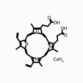 C=CC1=C(C)c2cc3[nH]c(cc4nc(cc5[nH]c(cc1n2)c(C)c5CCC(=O)O)C(CCC(=O)O)=C4C)c(C)c3C=C.[CaH2]